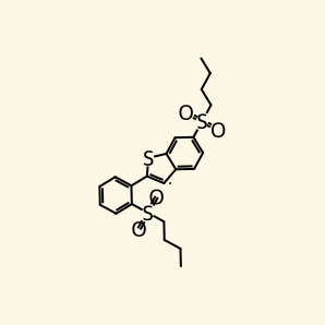 CCCCS(=O)(=O)c1ccc2[c]c(-c3ccccc3S(=O)(=O)CCCC)sc2c1